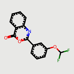 O=c1oc(-c2cccc(OC(F)F)c2)nc2ccccc12